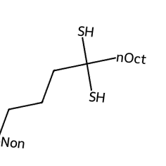 CCCCCCCCCCCCC(S)(S)CCCCCCCC